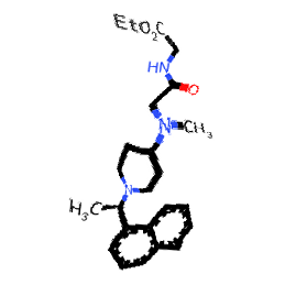 CCOC(=O)CNC(=O)CN(C)C1CCN([C@H](C)c2cccc3ccccc23)CC1